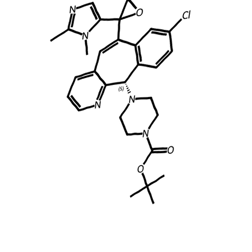 Cc1ncc(C2(C3=Cc4cccnc4[C@@H](N4CCN(C(=O)OC(C)(C)C)CC4)c4ccc(Cl)cc43)CO2)n1C